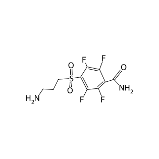 NCCCS(=O)(=O)c1c(F)c(F)c(C(N)=O)c(F)c1F